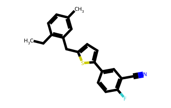 CCc1ccc(C)cc1Cc1ccc(-c2ccc(F)c(C#N)c2)s1